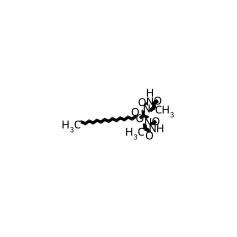 CCCCCCCCCCCCCCCC(=O)OC(Cn1cc(C)c(=O)[nH]c1=O)Cn1cc(C)c(=O)[nH]c1=O